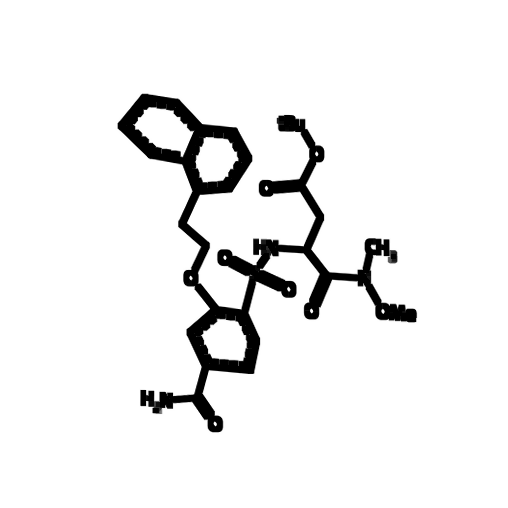 CON(C)C(=O)C(CC(=O)OC(C)(C)C)NS(=O)(=O)c1ccc(C(N)=O)cc1OCCc1cccc2ccccc12